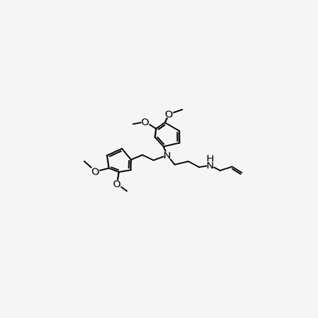 C=CCNCCCN(CCc1ccc(OC)c(OC)c1)c1ccc(OC)c(OC)c1